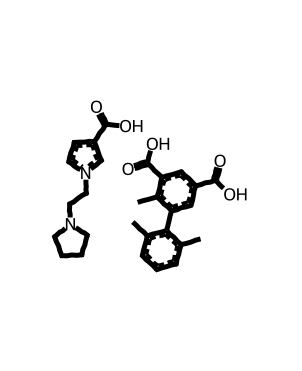 Cc1cccc(C)c1-c1cc(C(=O)O)cc(C(=O)O)c1C.O=C(O)c1ccn(CCN2CCCC2)c1